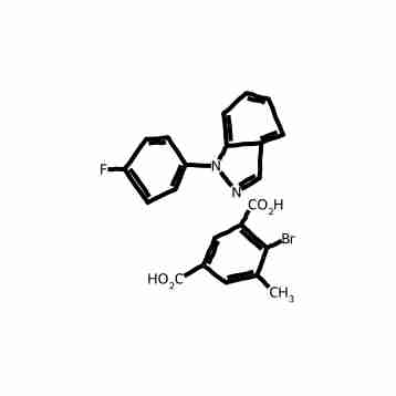 Cc1cc(C(=O)O)cc(C(=O)O)c1Br.Fc1ccc(-n2ncc3ccccc32)cc1